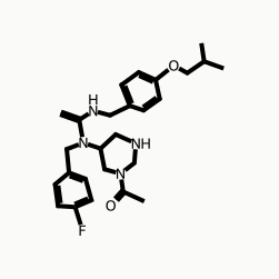 C=C(NCc1ccc(OCC(C)C)cc1)N(Cc1ccc(F)cc1)C1CNCN(C(C)=O)C1